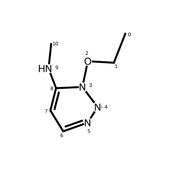 CCON1[N]N=CC=C1NC